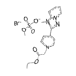 CCOC(=O)C[n+]1ccc(-c2n[n+]3ccccc3n2C)cc1.COS(=O)(=O)[O-].[Br-]